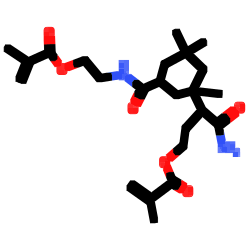 C=C(C)C(=O)OCCNC(=O)C1CC(C)(C)CC(C)(C(CCOC(=O)C(=C)C)C(N)=O)C1